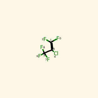 FC(F)=C(Cl)C(F)(F)F